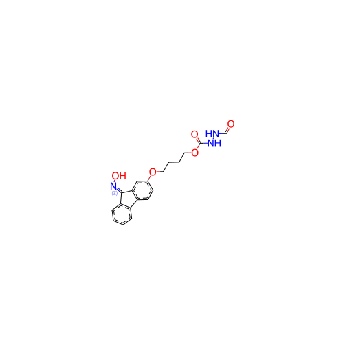 O=CNNC(=O)OCCCCOc1ccc2c(c1)/C(=N\O)c1ccccc1-2